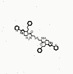 N[C@@H](CSSC[C@H](N)C(=O)N1CCn2nc(-c3ccccn3)cc2C1CCc1ccccc1)C(=O)N1CCn2nc(-c3ccccn3)cc2C1CCc1ccccc1